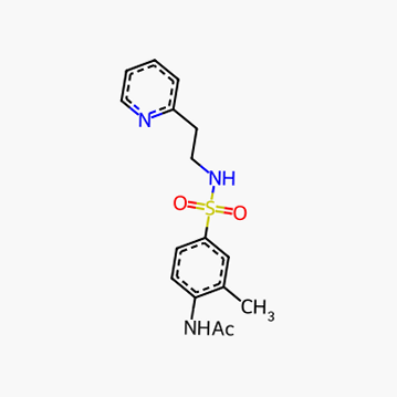 CC(=O)Nc1ccc(S(=O)(=O)NCCc2ccccn2)cc1C